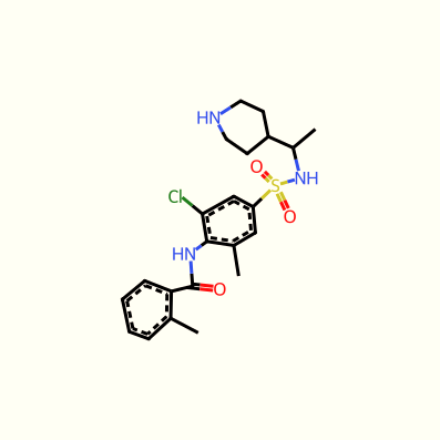 Cc1ccccc1C(=O)Nc1c(C)cc(S(=O)(=O)NC(C)C2CCNCC2)cc1Cl